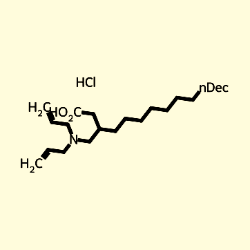 C=CCN(CC=C)CC(CCCCCCCCCCCCCCCCC)CC(=O)O.Cl